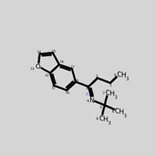 CCC/C(=N\C(C)(C)C)c1ccc2occc2c1